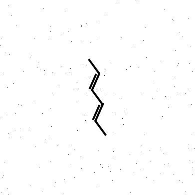 CC=CC=CC